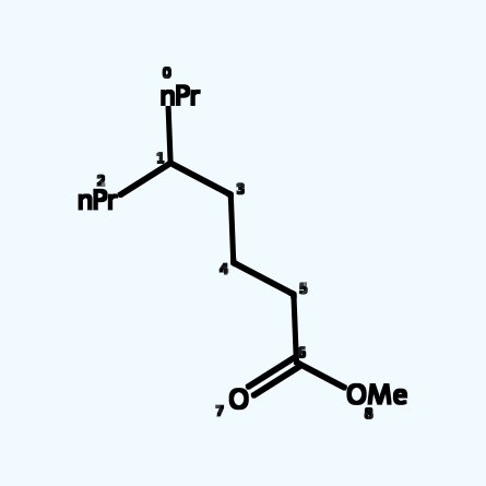 CCCC(CCC)CCCC(=O)OC